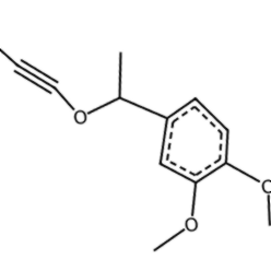 CC#COC(C)c1ccc(OC)c(OC)c1